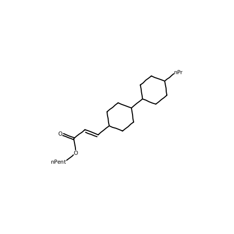 CCCCCOC(=O)C=CC1CCC(C2CCC(CCC)CC2)CC1